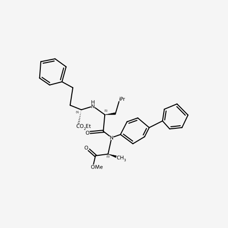 CCOC(=O)[C@H](CCc1ccccc1)N[C@@H](CC(C)C)C(=O)N(c1ccc(-c2ccccc2)cc1)[C@@H](C)C(=O)OC